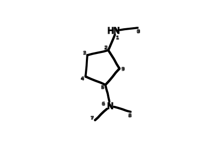 CNC1CCC(N(C)C)C1